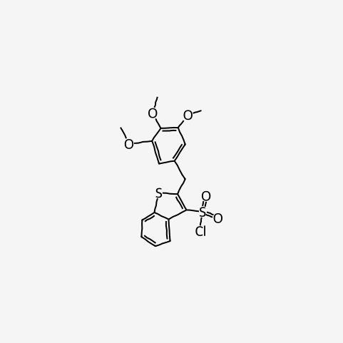 COc1cc(Cc2sc3ccccc3c2S(=O)(=O)Cl)cc(OC)c1OC